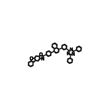 c1ccc(-c2nc(-c3ccccc3)nc(-c3cccc(-c4ccc(-c5ccc(-c6nc7cc8c(cc7o6)oc6ccccc68)cc5)c5ccccc45)c3)n2)cc1